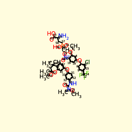 CCOc1cc(Oc2ccc(C(F)(F)F)cc2Cl)ccc1[N+](=O)[O-].CON(C)C(=O)Nc1ccc(Oc2ccc3c(c2)OC(C)(OC)CC3(C)C)cc1.CP(=O)(O)CCC(N)C(=O)O